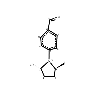 C[C@H]1CC[C@H](C)N1c1ccc(C=O)cc1